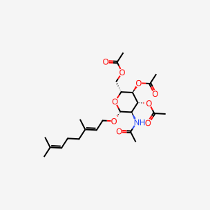 CC(=O)N[C@H]1[C@H](OC/C=C(\C)CCC=C(C)C)O[C@H](COC(C)=O)[C@@H](OC(C)=O)[C@@H]1OC(C)=O